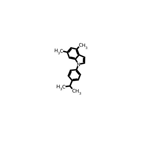 Cc1cc(C)c2ccn(-c3ccc(C(C)C)cc3)c2c1